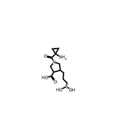 NC1(C(=O)N2CC(CCCB(O)O)C(C(=O)O)C2)CC1